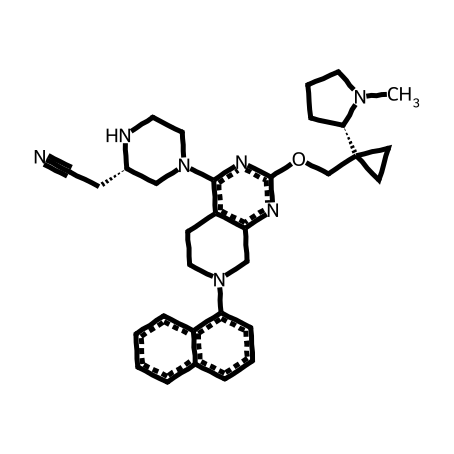 CN1CCC[C@H]1C1(COc2nc3c(c(N4CCN[C@@H](CC#N)C4)n2)CCN(c2cccc4ccccc24)C3)CC1